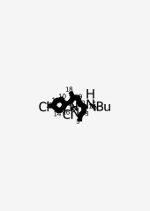 CC[C@H](C)Nc1cc(C)nn2c(-c3ccc(Cl)cc3Cl)c(C)cc12